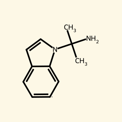 CC(C)(N)n1ccc2cc[c]cc21